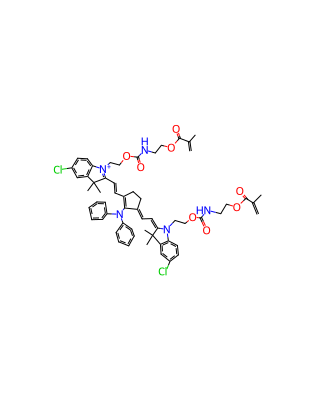 C=C(C)C(=O)OCCNC(=O)OCCN1/C(=C/C=C2\CCC(/C=C/C3=[N+](CCOC(=O)NCCOC(=O)C(=C)C)c4ccc(Cl)cc4C3(C)C)=C2N(c2ccccc2)c2ccccc2)C(C)(C)c2cc(Cl)ccc21